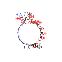 COC1C(C)OC(O[C@H]2/C=C/C=C/C=C/C=C/C=C/C=C/C=C/[C@H](C)[C@@H](O)[C@@H](C)[C@H](C)OC(=O)C[C@H](O)C[C@H](O)CC(=O)CC[C@@H](O)[C@H](O)C[C@]3(O)C[C@H](O)[C@@H](C(=O)O)C(C2)O3)C(O)C1N